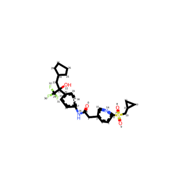 O=C(Cc1ccc(S(=O)(=O)CC2CC2)nc1)Nc1ccc(C(O)(CC2CCCC2)C(F)(F)F)cc1